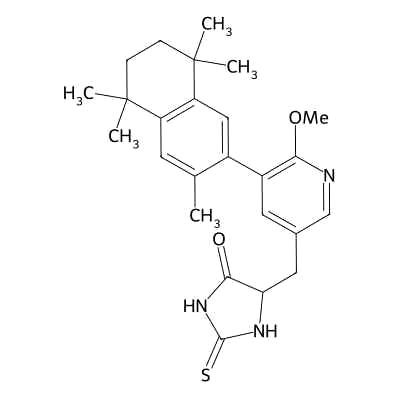 COc1ncc(CC2NC(=S)NC2=O)cc1-c1cc2c(cc1C)C(C)(C)CCC2(C)C